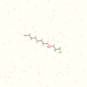 [CH2]CCCCCCCOCCCF